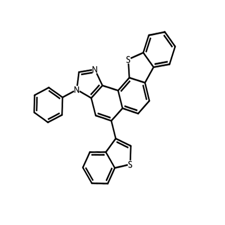 c1ccc(-n2cnc3c4c(ccc5c6ccccc6sc54)c(-c4csc5ccccc45)cc32)cc1